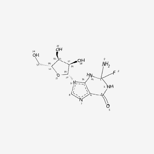 NC1(F)NC(=O)c2ncn([C@@H]3O[C@H](CO)[C@@H](O)[C@H]3O)c2N1